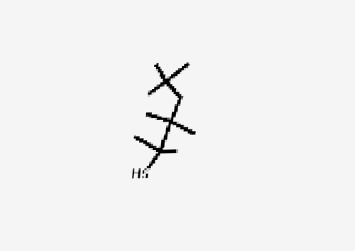 CC(C)(C)CC(C)(C)C(C)(C)S